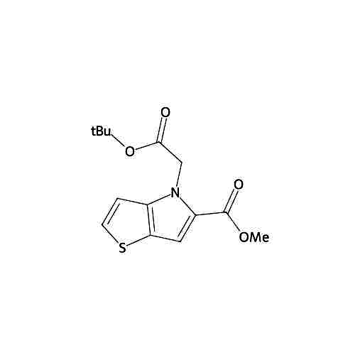 COC(=O)c1cc2sccc2n1CC(=O)OC(C)(C)C